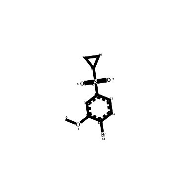 COc1cc(S(=O)(=O)C2CC2)ccc1Br